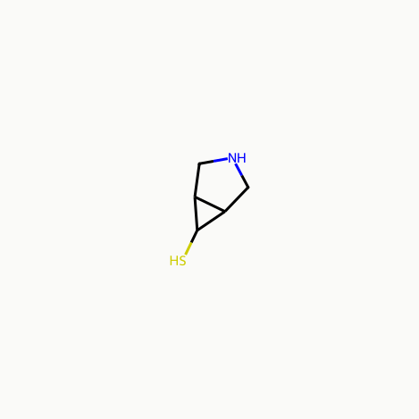 SC1C2CNCC12